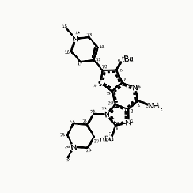 CCCCc1nc2c(N)nc3c(C(C)(C)C)c(C4=CCN(C)CC4)sc3c2n1CC1CCN(C)CC1